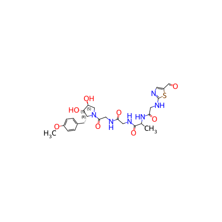 COc1ccc(C[C@@H]2[C@H](O)[C@@H](O)CN2C(=O)CNC(=O)CNC(=O)C(C)NC(=O)CNc2ncc(C=O)s2)cc1